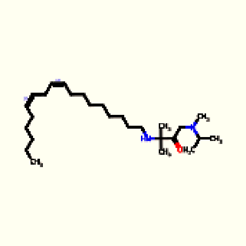 CCCCC/C=C\C/C=C\CCCCCCCCNC(C)(C)C(=O)CN(C)C(C)C